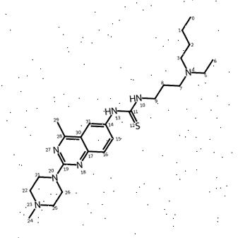 CCCCN(CC)CCCNC(=S)Nc1ccc2nc(N3CCN(C)CC3)nc(C)c2c1